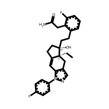 CC[C@]12Cc3cnn(-c4ccc(F)cc4)c3C=C1CC[C@@]2(O)CCc1cccc(F)c1CC(N)=O